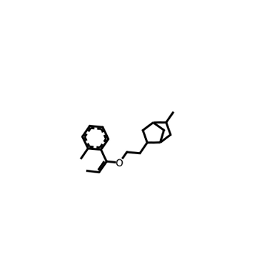 C/C=C(/OCCC1CC2CC1CC2C)c1ccccc1C